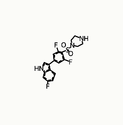 O=S(=O)(c1c(F)cc(-c2c[nH]c3cc(F)ccc23)cc1F)N1CCNCC1